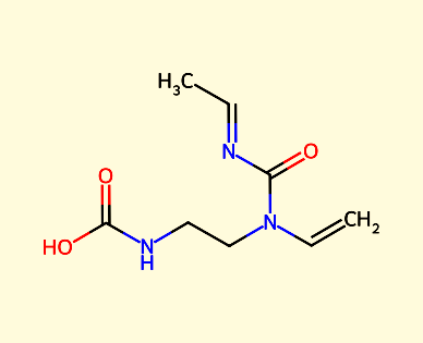 C=CN(CCNC(=O)O)C(=O)N=CC